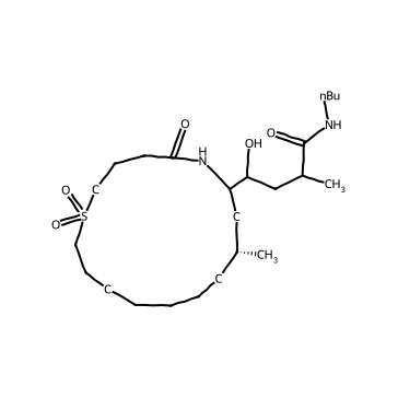 CCCCNC(=O)C(C)CC(O)C1C[C@H](C)CCCCCCCS(=O)(=O)CCCC(=O)N1